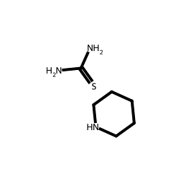 C1CCNCC1.NC(N)=S